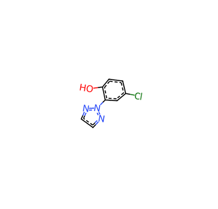 Oc1ccc(Cl)cc1-n1nccn1